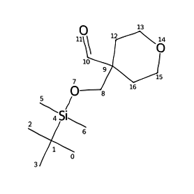 CC(C)(C)[Si](C)(C)OCC1(C=O)CCOCC1